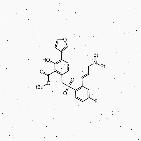 CCN(CC)CC=Cc1cc(F)ccc1S(=O)(=O)Cc1ccc(-c2ccoc2)c(O)c1C(=O)OC(C)(C)C